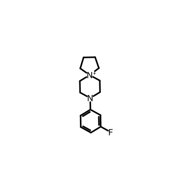 Fc1cccc(N2CC[N+]3(CCCC3)CC2)c1